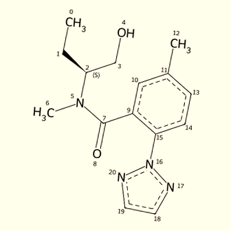 CC[C@@H](CO)N(C)C(=O)c1cc(C)ccc1-n1nccn1